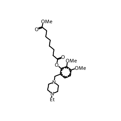 CCN1CCN(Cc2ccc(OC)c(OC)c2OC(=O)CCCCCCC(=O)OC)CC1